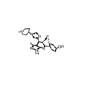 Cc1n[nH]c2nc(-c3ccc(O)cc3F)c(C#N)c(-c3cn(C4CCNCC4)cn3)c12